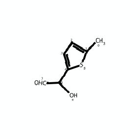 Cc1ccc(C(O)C=O)s1